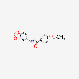 CCOc1ccc(C(=O)/C=C/c2ccc3c(c2)OCO3)cc1